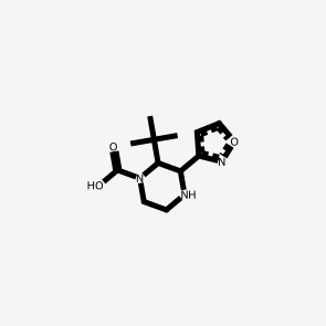 CC(C)(C)C1C(c2ccon2)NCCN1C(=O)O